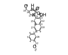 COCc1cccc(-c2ccc3cc(O)c(N4CC(C=O)NS4(=O)=O)cc3c2)c1